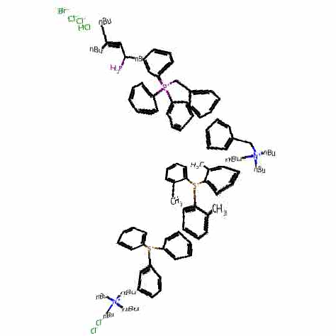 CCCCC(=CC(P)CCCC)CCCC.CCCC[N+](CCCC)(CCCC)CCCC.CCCC[N+](CCCC)(CCCC)Cc1ccccc1.Cc1ccccc1[S+](c1ccccc1C)c1ccccc1C.Cl.[Br-].[Cl-].[Cl-].[Cl-].[Cl-].c1ccc(C[P+](c2ccccc2)(c2ccccc2)c2ccccc2)cc1.c1ccc([S+](c2ccccc2)c2ccccc2)cc1